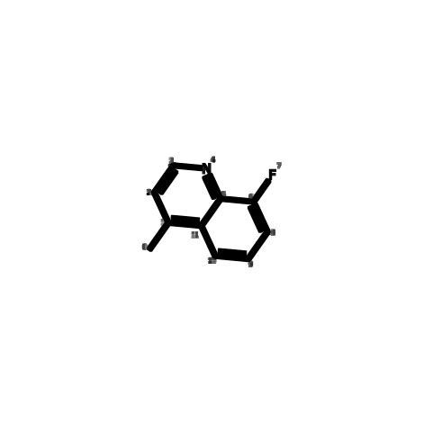 Cc1c[c]nc2c(F)cccc12